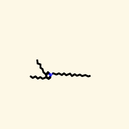 CCCCCCCCCCCCCCC[n+]1ccc(CCCCCC)c(CCCCCC)c1